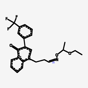 CCOC(C)O/N=C\CCn1cc(-c2cccc(C(F)(F)F)c2)c(=O)[n+]2ccccc12